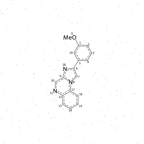 COc1cccc(-c2cn3c(cnc4ccccc43)n2)c1